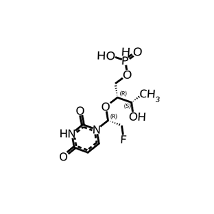 C[C@H](O)[C@@H](CO[PH](=O)O)O[C@H](CF)n1ccc(=O)[nH]c1=O